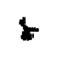 COc1cc2c(NC3CC3)c3c(nc2cc1OCCCN1CC[C@@H](F)C1)CCCC3